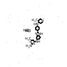 Cc1cc(Nc2ccc3[nH]c(-c4ccc(Nc5ccncc5C)cc4)nc3c2)nc(N)n1.Cl.Cl.Cl